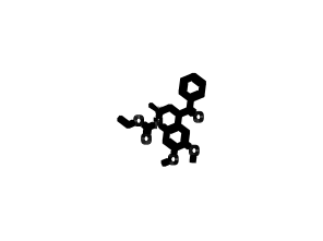 CCOC(=O)N1c2cc(OC)c(OC)cc2C(C(=O)c2ccccc2)C[C@@H]1C